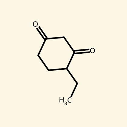 CCC1CCC(=O)CC1=O